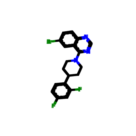 Fc1ccc(C2CCN(c3ncnc4ccc(Br)cc34)CC2)c(F)c1